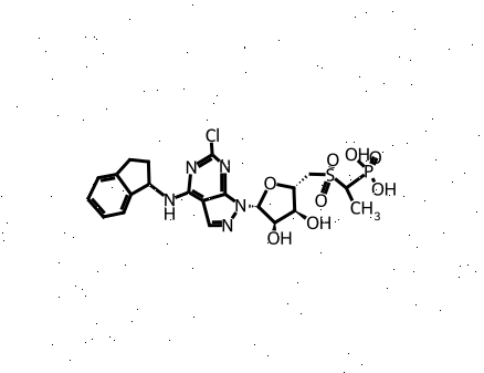 CC(P(=O)(O)O)S(=O)(=O)C[C@H]1O[C@@H](n2ncc3c(NC4CCc5ccccc54)nc(Cl)nc32)[C@H](O)[C@@H]1O